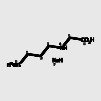 CCCCCCCCNCC(=O)O.[NaH]